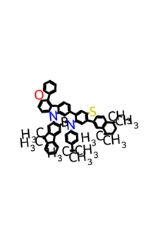 CC(C)(C)c1ccc(N2B3c4cc5c(cc4-n4c6ccc7oc8ccccc8c7c6c6ccc(c3c64)-c3cc4sc6cc7c(cc6c4cc32)C(C)(C)CCC7(C)C)C(C)(C)c2ccccc2-5)cc1